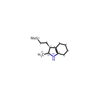 CSCC[C@H]1C2=C(CCCC2)NC1C